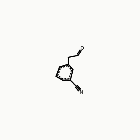 N#Cc1cccc([CH]C=O)c1